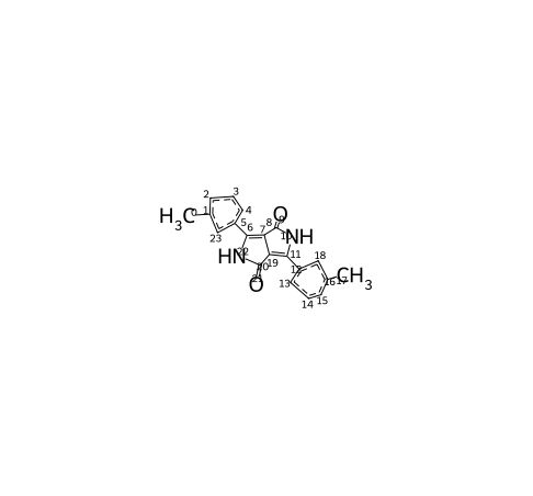 Cc1cccc(C2=C3C(=O)NC(c4cccc(C)c4)=C3C(=O)N2)c1